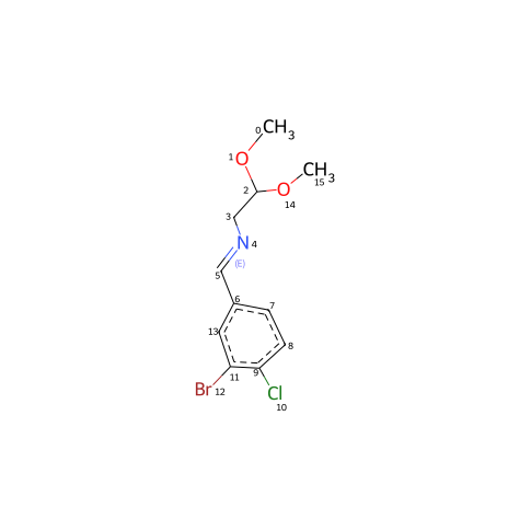 COC(C/N=C/c1ccc(Cl)c(Br)c1)OC